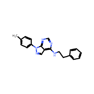 Cc1ccc(-n2ncc3c(NCCc4ccccc4)ncnc32)cc1